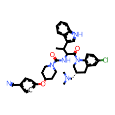 CC(c1c[nH]c2ccccc12)C(NC(=O)N1CCC(Oc2ccc(C#N)cc2)CC1)C(=O)N1C[C@@H](CN(C)C)Cc2cc(Cl)ccc21